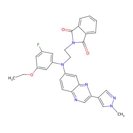 CCOc1cc(F)cc(N(CCN2C(=O)c3ccccc3C2=O)c2ccc3ncc(-c4cnn(C)c4)nc3c2)c1